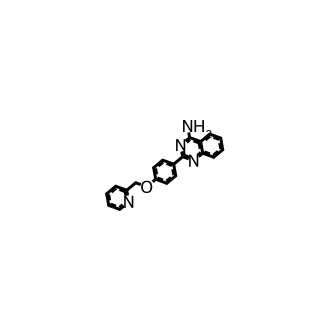 Nc1nc(-c2ccc(OCc3ccccn3)cc2)nc2ccccc12